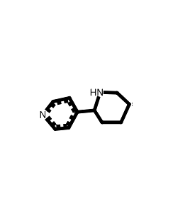 [C]1CCC(c2ccncc2)NC1